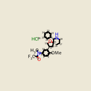 COc1ccc(N(C)C(=O)C(F)(F)F)cc1[C@H]1CO[C@]2(CCCN[C@H]2c2ccccc2)C1.Cl